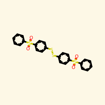 O=S(=O)(c1ccccc1)c1ccc(SSc2ccc(S(=O)(=O)c3ccccc3)cc2)cc1